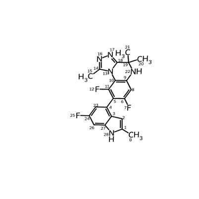 Cc1cc2c(-c3c(F)cc4c(c3F)-n3c(C)nnc3C(C)(C)N4)cc(F)cc2[nH]1